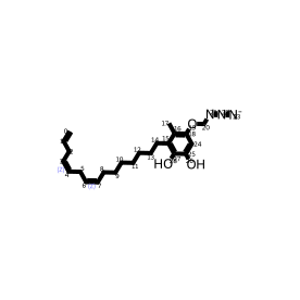 C=CC/C=C\C/C=C\CCCCCCCc1c(C)c(OCN=[N+]=[N-])cc(O)c1O